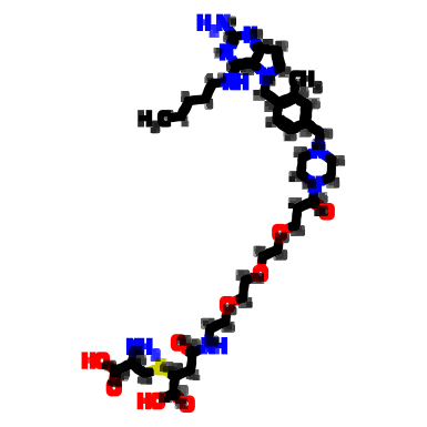 CCCCCNc1nc(N)nc2ccn(Cc3ccc(CN4CCN(C(=O)CCOCCOCCOCCNC(=O)CC(SC[C@H](N)C(=O)O)C(=O)O)CC4)cc3C)c12